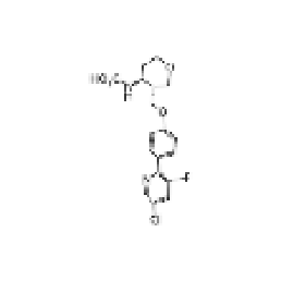 O=C(O)N[C@H]1CCOC[C@@H]1COc1ccc(-c2ncc(Cl)cc2F)cc1